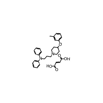 Cc1cccc(OC2CCN(CCCN(c3ccccc3)c3ccccc3)CC2)c1.O=C(O)/C=C/C(=O)O